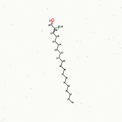 CCCCCCCCCCCCCCCCCC=C(F)C=O